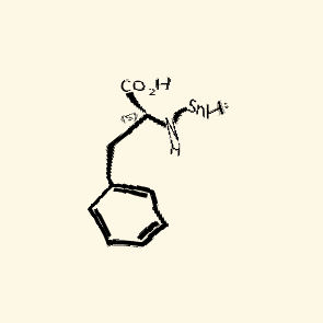 O=C(O)[C@H](Cc1ccccc1)[NH][SnH]